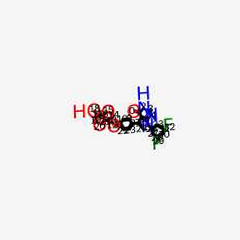 O=c1[nH]cnc2c1c(-c1ccc(OC3COC4C(O)COC34)cc1)cn2-c1cc(F)cc(F)c1